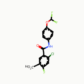 O=C(O)c1cc(C(=O)Nc2ccc(OC(F)F)cc2)c(Cl)cc1F